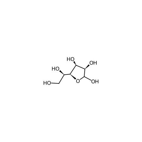 OC[C@@H](O)[C@@H]1OC(O)[C@H](O)[C@@H]1O